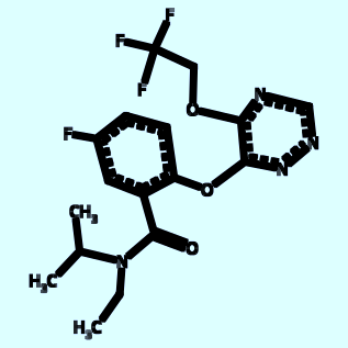 CCN(C(=O)c1cc(F)ccc1Oc1nncnc1OCC(F)(F)F)C(C)C